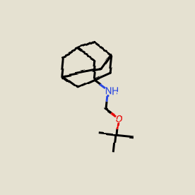 CC(C)(C)OCNC12CC3CC(CC(C3)C1)C2